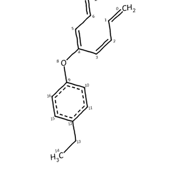 C=C/C=C\C(=C/C=C)Oc1ccc(CC)cc1